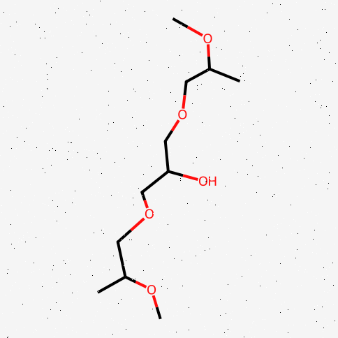 COC(C)COCC(O)COCC(C)OC